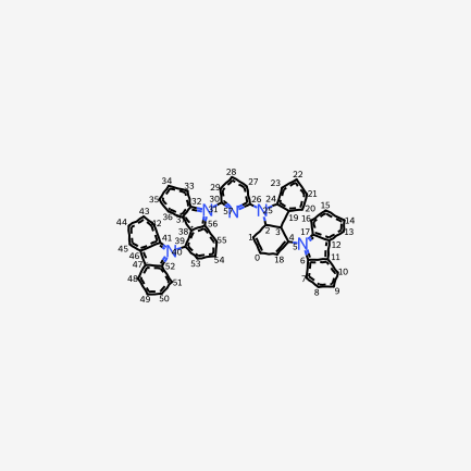 C1=CC2C(C(n3c4ccccc4c4ccccc43)=C1)c1ccccc1N2c1cccc(-n2c3ccccc3c3c(-n4c5ccccc5c5ccccc54)cccc32)n1